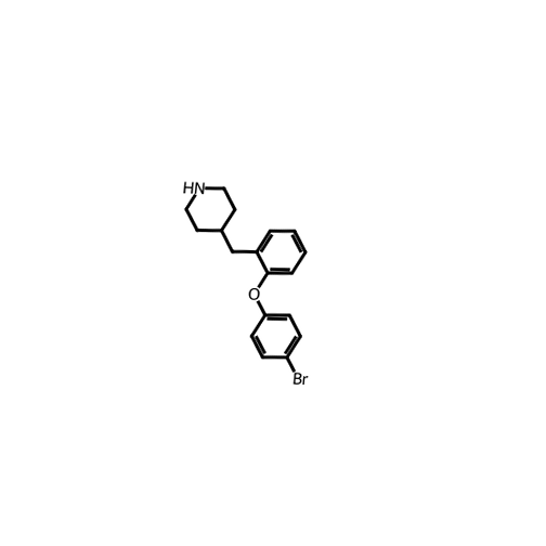 Brc1ccc(Oc2ccccc2CC2CCNCC2)cc1